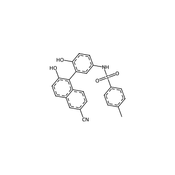 Cc1ccc(S(=O)(=O)Nc2ccc(O)c(-c3c(O)ccc4cc(C#N)ccc34)c2)cc1